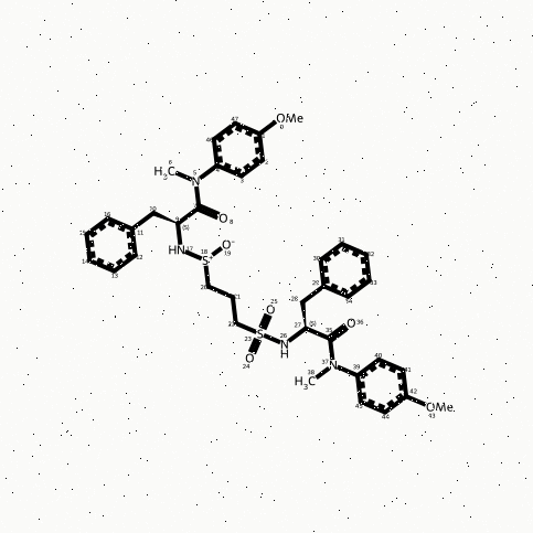 COc1ccc(N(C)C(=O)[C@H](Cc2ccccc2)N[S+]([O-])CCCS(=O)(=O)N[C@@H](Cc2ccccc2)C(=O)N(C)c2ccc(OC)cc2)cc1